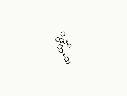 O=C(CN(C[C@@H](c1ccccc1)C1CCCCC1)C(=O)[C@H]1CCc2ccc(OCc3ccc4nccn4c3)cc2O1)N1CCCC1